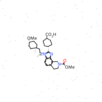 COC(=O)N1CCc2ccc3c(nc([C@H]4CC[C@H](C(=O)O)CC4)n3[C@H](C)C[C@]3(C)CC[C@@H](OC)CC3)c2C1